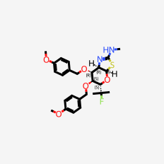 CNC1=N[C@@H]2[C@@H](OCc3ccc(OC)cc3)[C@H](OCc3ccc(OC)cc3)[C@@H](C(C)(C)F)O[C@@H]2S1